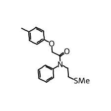 CSCCN(C(=O)COc1ccc(C)cc1)c1ccccc1